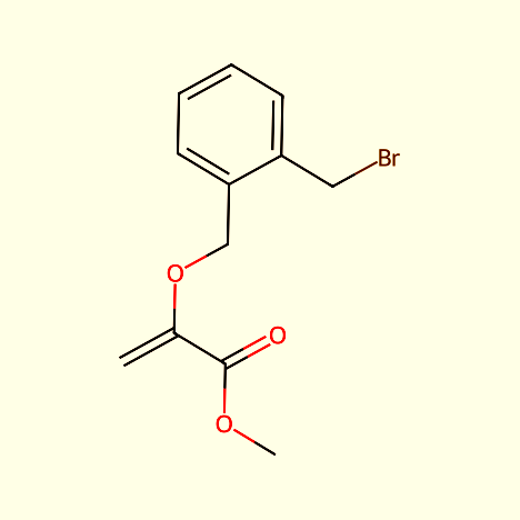 C=C(OCc1ccccc1CBr)C(=O)OC